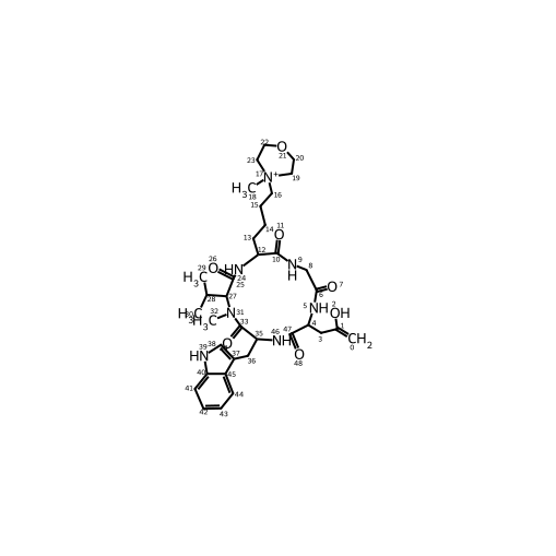 C=C(O)CC1NC(=O)CNC(=O)C(CCCC[N+]2(C)CCOCC2)NC(=O)C(C(C)C)N(C)C(=O)C(Cc2c[nH]c3ccccc23)NC1=O